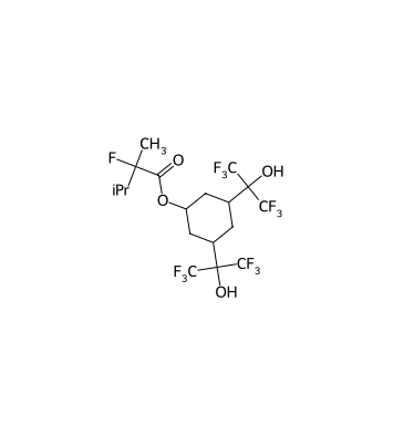 CC(C)C(C)(F)C(=O)OC1CC(C(O)(C(F)(F)F)C(F)(F)F)CC(C(O)(C(F)(F)F)C(F)(F)F)C1